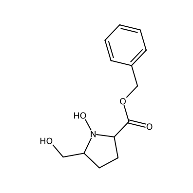 O=C(OCc1ccccc1)C1CCC(CO)N1O